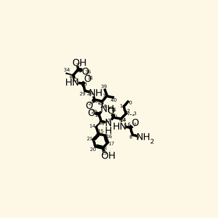 CC[C@H](C)[C@H](NC(=O)CN)C(=O)N[C@@H](Cc1ccc(O)cc1)C(=O)N[C@H](C(=O)NCC(=O)N[C@@H](C)C(=O)O)C(C)C